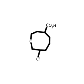 O=C(O)C1CCCCC(Cl)CCC1